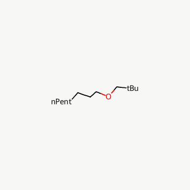 CCCCCCCCOCC(C)(C)C